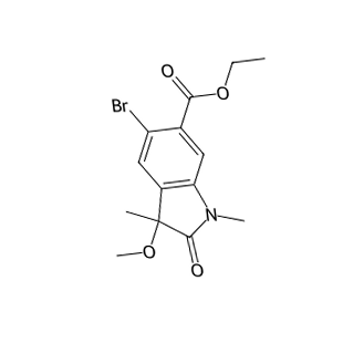 CCOC(=O)c1cc2c(cc1Br)C(C)(OC)C(=O)N2C